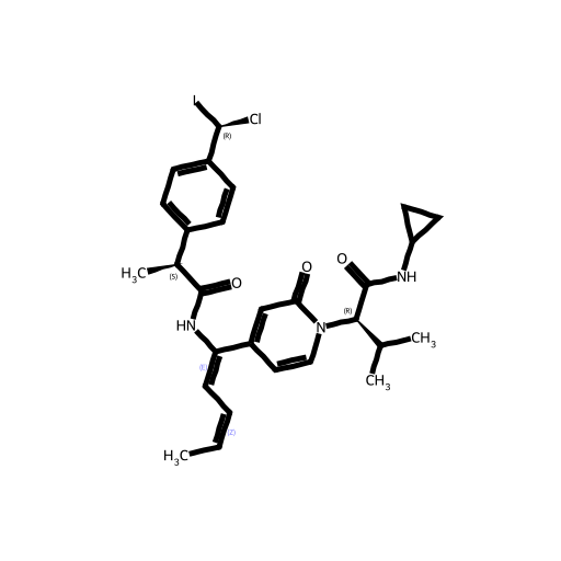 C/C=C\C=C(\NC(=O)[C@@H](C)c1ccc([C@H](Cl)I)cc1)c1ccn([C@@H](C(=O)NC2CC2)C(C)C)c(=O)c1